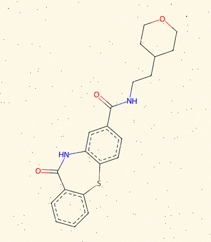 O=C(NCCC1CCOCC1)c1ccc2c(c1)NC(=O)c1ccccc1S2